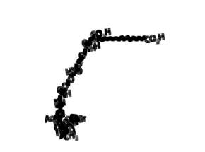 CC(=O)c1nn(CC(=O)N2[C@H](C(=O)Nc3nc(Br)ccc3C)C[C@@]3(C)C[C@@H]23)c2ccc(-c3cnc(CNC(=O)COCCOCCNC(=O)COCCOCCNC(=O)CC[C@H](NC(=O)CCCCCCCCCCCCCCCCC(=O)O)C(=O)O)nc3)cc12